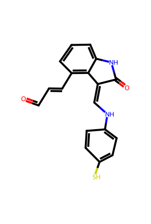 O=C/C=C/c1cccc2c1/C(=C/Nc1ccc(S)cc1)C(=O)N2